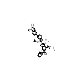 COc1cc(C(=O)N2CC3CCC2C3C)cc2oc(-c3cc4ccc(-c5ccc6c(c5)CNC6=O)cc4n3CC3CC3)c(C)c12